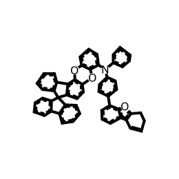 C1=Cc2c(oc3c(-c4ccc(N(c5ccccc5)c5cccc6c5Oc5ccc7c(c5O6)-c5ccccc5C75c6ccccc6-c6ccccc65)cc4)cccc23)CC1